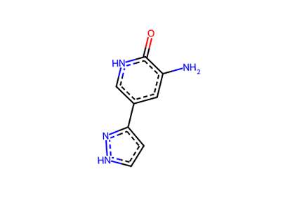 Nc1cc(-c2cc[nH]n2)c[nH]c1=O